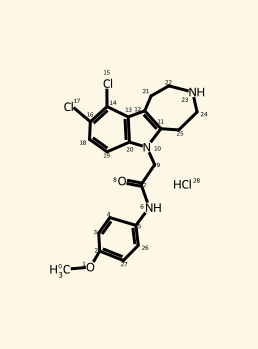 COc1ccc(NC(=O)Cn2c3c(c4c(Cl)c(Cl)ccc42)CCNCC3)cc1.Cl